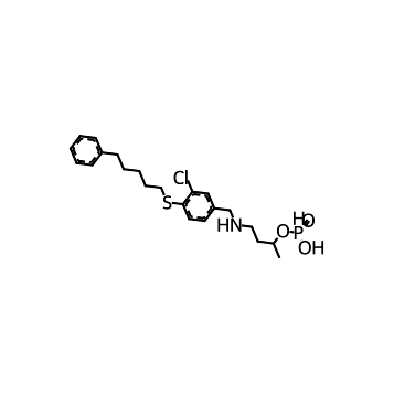 CC(CCNCc1ccc(SCCCCCc2ccccc2)c(Cl)c1)O[PH](=O)O